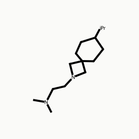 CC(C)C1CCC2(CC1)CN(CCN(C)C)C2